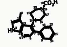 Cc1c[nH]c2ncc(-c3ccccc3)c(N3CCN(C(=O)O)CC3)c12